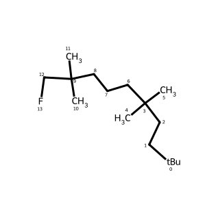 CC(C)(C)CCC(C)(C)CCCC(C)(C)CF